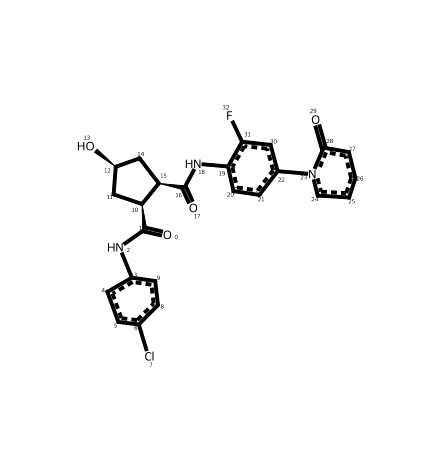 O=C(Nc1ccc(Cl)cc1)[C@H]1C[C@@H](O)C[C@H]1C(=O)Nc1ccc(-n2ccccc2=O)cc1F